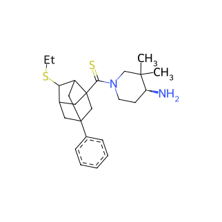 CCSC1C2CC3(c4ccccc4)CC1C(C(=S)N1CC[C@H](N)C(C)(C)C1)(C2)C3